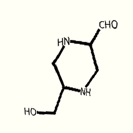 O=CC1CNC(CO)CN1